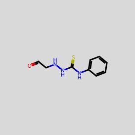 O=[C]CNNC(=S)Nc1ccccc1